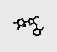 N#Cc1cc(-c2ncc(F)c(=O)[nH]2)nn1Cc1ccccc1F